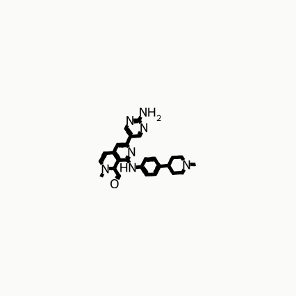 CN1CCC(c2ccc(Nc3nc(-c4cnc(N)nc4)cc4c3C(C=O)N(C)C=C4)cc2)CC1